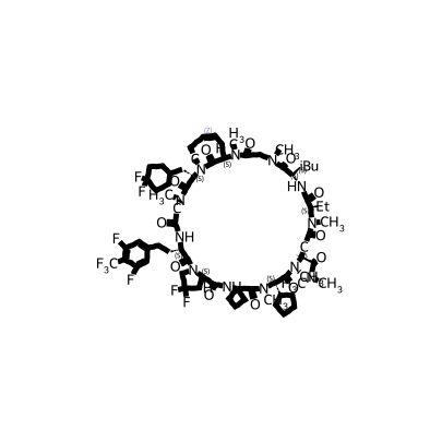 CC[C@H](C)[C@@H]1NC(=O)[C@H](CC)N(C)C(=O)C[C@@H](C(=O)N(C)C)N(C)C(=O)[C@H](C2CCCC2)N(C)C(=O)C2(CCC2)NC(=O)[C@@H]2CC(F)(F)CN2C(=O)[C@H](CCc2cc(F)c(C(F)(F)F)c(F)c2)NC(=O)CN(C)C(=O)[C@H](CC2CCC(F)(F)CC2)N2CC/C=C\C[C@@H](C2=O)N(C)C(=O)CN(C)C1=O